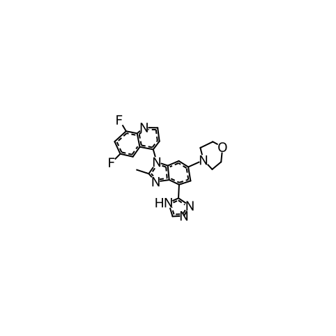 Cc1nc2c(-c3nnc[nH]3)cc(N3CCOCC3)cc2n1-c1ccnc2c(F)cc(F)cc12